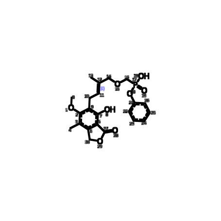 COc1c(C)c2c(c(O)c1C/C=C(\C)COCP(=O)(O)Oc1ccccc1)C(=O)OC2